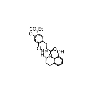 CCOC(=O)Oc1ccc(C[C@@H](N)C(=O)N2CCCc3cccc(O)c32)c(Cl)c1